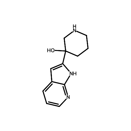 OC1(c2cc3cccnc3[nH]2)CCCNC1